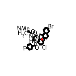 CN[C@@H](C)C(=O)N[C@H]1CN(C(=O)c2ccc(F)cc2)c2cc(Cl)ccc2N(Cc2c(OC)ccc3cc(Br)ccc23)C1=O